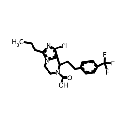 CCCc1nc(Cl)c2n1CCN(C(=O)O)C2CCc1ccc(C(F)(F)F)cc1